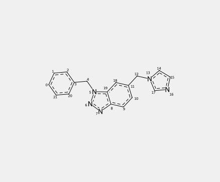 c1ccc(Cn2nnc3ccc(Cn4ccnc4)cc32)cc1